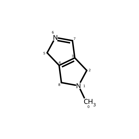 CN1CC2=C(CN=C2)C1